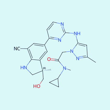 Cc1cc(Nc2nccc(-c3cc(C#N)c4c(c3)[C@@](C)(CO)CN4)n2)n(CC(=O)N(C)C2CC2)n1